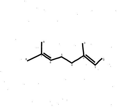 [CH2]/C=C(\C)CCC=C(C)C